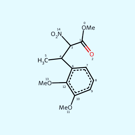 COC(=O)C(C(C)c1cccc(OC)c1OC)[N+](=O)[O-]